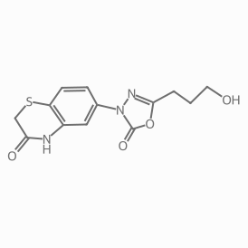 O=C1CSc2ccc(-n3nc(CCCO)oc3=O)cc2N1